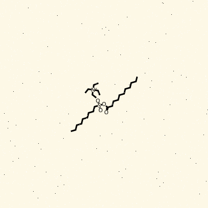 CCCCCCCCCCC(=O)OS(=O)(=O)CCCCCCCCC.CC[N+](CC)(CC)CC